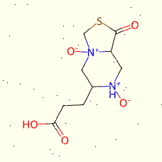 O=C(O)CCC1C[N+]2([O-])CSC(=O)C2C[NH+]1[O-]